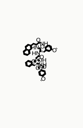 COc1ccc(S(=O)(=O)N[C@H](Cc2ccccc2)P(=O)(O)CC(=O)N[C@@H](Cc2cccc(OC)c2)C(=O)NC(Cc2ccc3ccccc3c2)C(N)=O)cc1